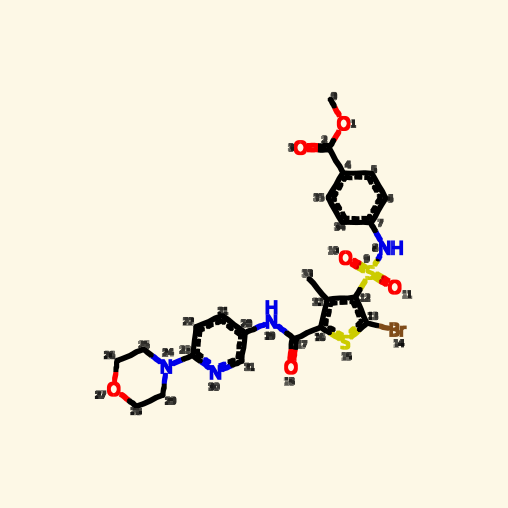 COC(=O)c1ccc(NS(=O)(=O)c2c(Br)sc(C(=O)Nc3ccc(N4CCOCC4)nc3)c2C)cc1